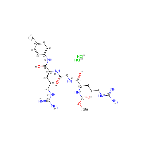 CC(C)(C)OC(=O)N[C@H](CCCNC(=N)N)C(=O)NCC(=O)N[C@@H](CCCNC(=N)N)C(=O)Nc1ccc([N+](=O)[O-])cc1.Cl.Cl